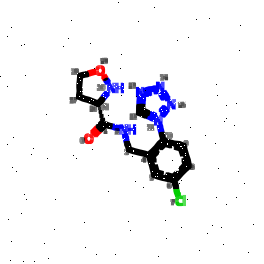 O=C(NCc1cc(Cl)ccc1-n1cnnn1)[C@@H]1CCON1